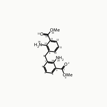 COC(=O)c1cccc(Cc2cccc(C(=O)OC)c2N)c1N